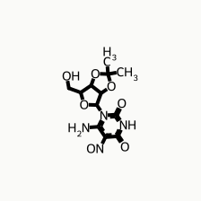 CC1(C)OC2C(CO)OC(n3c(N)c(N=O)c(=O)[nH]c3=O)C2O1